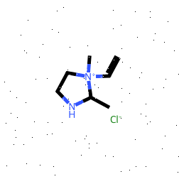 C=C[N+]1(C)CCNC1C.[Cl-]